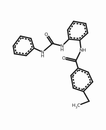 CCc1ccc(C(=O)Nc2ccccc2NC(=O)Nc2ccccc2)cc1